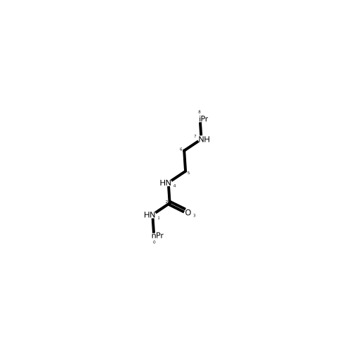 CCCNC(=O)NCCNC(C)C